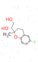 CC1([C@H](O)CO)CCc2cc(F)ccc2O1